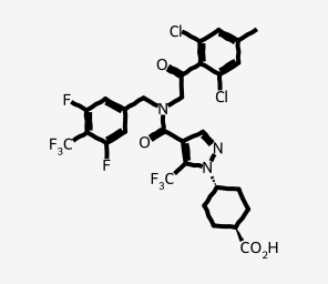 Cc1cc(Cl)c(C(=O)CN(Cc2cc(F)c(C(F)(F)F)c(F)c2)C(=O)c2cnn([C@H]3CC[C@H](C(=O)O)CC3)c2C(F)(F)F)c(Cl)c1